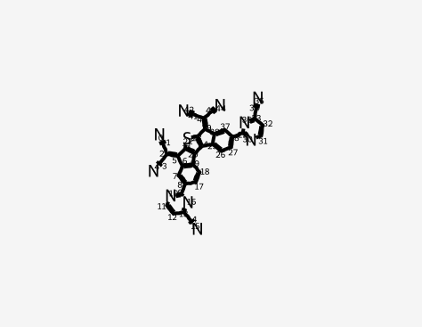 N#CC(C#N)=C1c2cc(-c3nccc(C#N)n3)ccc2-c2c1sc1c2-c2ccc(-c3nccc(C#N)n3)cc2C1=C(C#N)C#N